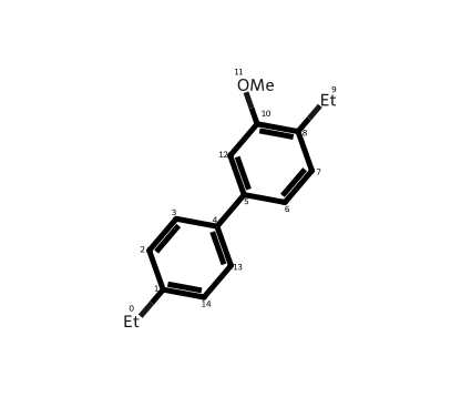 CCc1ccc(-c2ccc(CC)c(OC)c2)cc1